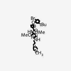 COc1nc(NCCCN2CCN(C)CC2)nc(OC)c1NC(=O)c1ccc(Oc2cc(C(C)(C)C)ccc2Br)o1